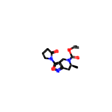 C[C@H]1Cc2noc(N3CCCC3=O)c2CN1C(=O)OC(C)(C)C